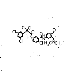 CN(C)Cc1cc(NC(=O)c2cc(NC(=O)C3C(c4cc(Cl)cc(Cl)c4)C3(Cl)Cl)ccc2Cl)ccc1C=O